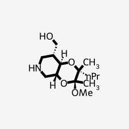 CCC[C@@]1(C)O[C@@H]2[C@@H](CO)CNC[C@H]2O[C@]1(C)OC